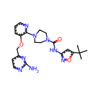 CC(C)(C)c1cc(NC(=O)N2CCN(c3ncccc3OCc3ccnc(N)n3)CC2)no1